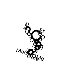 CC[C@H]1CCC[C@H](O[C@H]2CC[C@H](N(C)C)[C@@H](C)O2)[C@@H](C)C(=O)C2=C[C@@H]3[C@@H](C=C(C)[C@@H]4C[C@@H](O[C@@H]5C[C@@H](C)[C@H](OC)[C@@H](OC)[C@H]5OC)C[C@@H]34)[C@@H]2CC(=O)O1